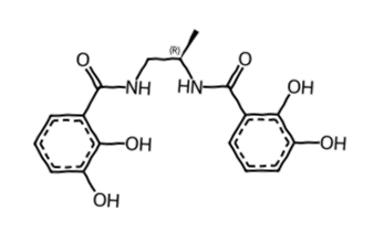 C[C@H](CNC(=O)c1cccc(O)c1O)NC(=O)c1cccc(O)c1O